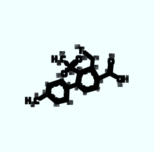 Cc1ccc(-c2ccc(C(=O)O)c(CF)c2S(C)(=O)=O)cc1